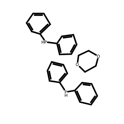 C1COCCO1.c1ccc(Pc2ccccc2)cc1.c1ccc(Pc2ccccc2)cc1